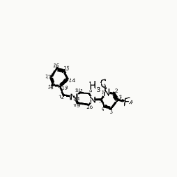 CN1C=C(F)C=CC1N1CCN(Cc2ccccc2)CC1